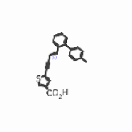 Cc1ccc(-c2ccccc2/C=C/C#Cc2cc(C(=O)O)cs2)cc1